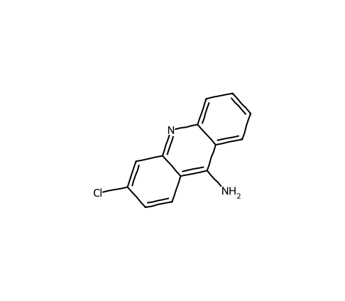 Nc1c2ccccc2nc2cc(Cl)ccc12